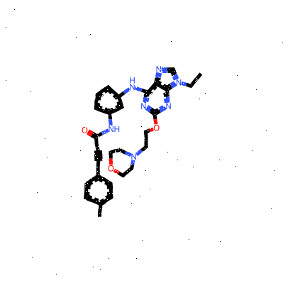 CCn1cnc2c(Nc3cccc(NC(=O)C#Cc4ccc(C)cc4)c3)nc(OCCN3CCOCC3)nc21